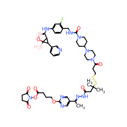 BC12OB=C(Nc3ccc(CNC(=O)N4CCC(N5CCN(C(=O)CCSSC(C)(C)CC(=O)N/N=C(\C)c6cnc(OCCCC(=O)ON7C(=O)CCC7=O)nc6)CC5)CC4)c(F)c3)C1C2c1cccnc1